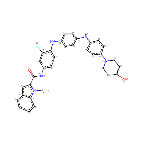 Cn1c(C(=O)Nc2ccc(Nc3ccc(Nc4ccc(N5CCC(O)CC5)cc4)cc3)c(F)c2)cc2ccccc21